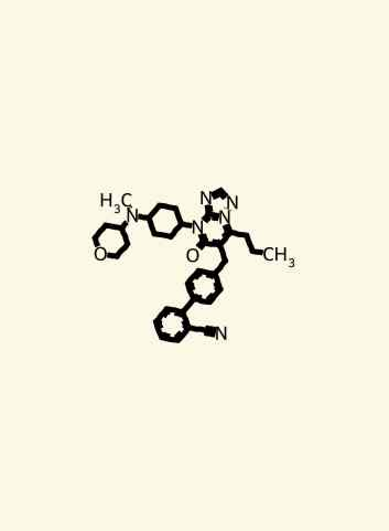 CCCc1c(Cc2ccc(-c3ccccc3C#N)cc2)c(=O)n(C2CCC(N(C)C3CCOCC3)CC2)c2ncnn12